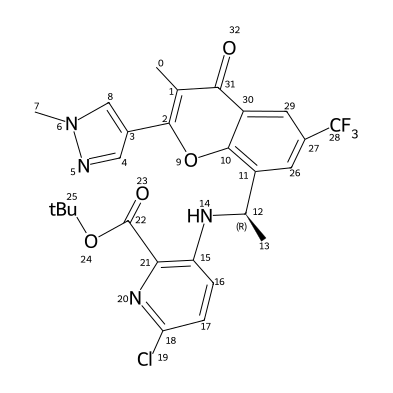 Cc1c(-c2cnn(C)c2)oc2c([C@@H](C)Nc3ccc(Cl)nc3C(=O)OC(C)(C)C)cc(C(F)(F)F)cc2c1=O